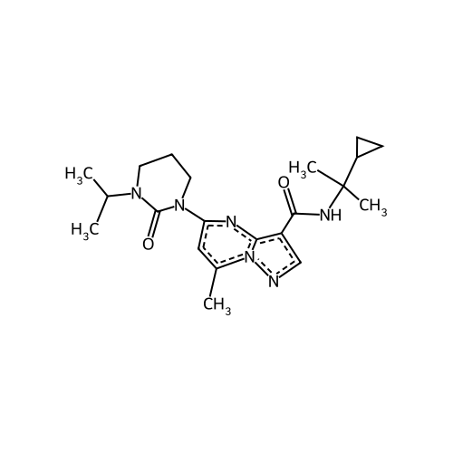 Cc1cc(N2CCCN(C(C)C)C2=O)nc2c(C(=O)NC(C)(C)C3CC3)cnn12